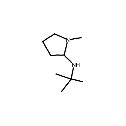 CN1CCCC1NC(C)(C)C